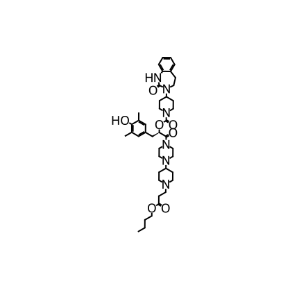 CCCCOC(=O)CCN1CCC(N2CCN(C(=O)[C@@H](Cc3cc(C)c(O)c(C)c3)OC(=O)N3CCC(N4CCc5ccccc5NC4=O)CC3)CC2)CC1